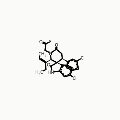 C/C=C(/CC)[C@H]1N(CC(=O)F)C(=O)C[C@@H](c2cccc(Cl)c2)[C@]12C(=O)Nc1cc(Cl)ccc12